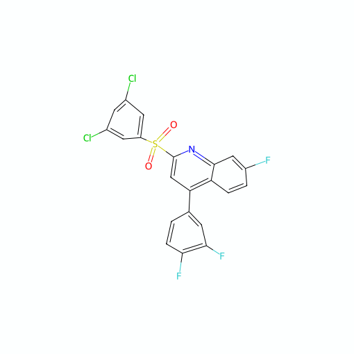 O=S(=O)(c1cc(Cl)cc(Cl)c1)c1cc(-c2ccc(F)c(F)c2)c2ccc(F)cc2n1